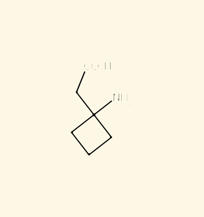 NC1(CC(=O)O)CCC1